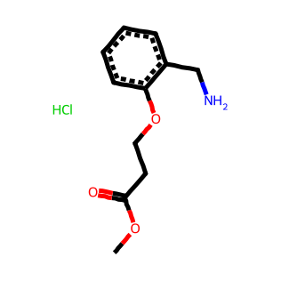 COC(=O)CCOc1ccccc1CN.Cl